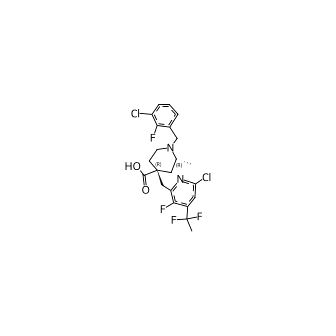 C[C@@H]1C[C@](Cc2nc(Cl)cc(C(C)(F)F)c2F)(C(=O)O)CCN1Cc1cccc(Cl)c1F